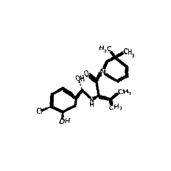 CC(C)[C@@H](N[C@@H](O)C1=CC[C@H](Cl)[C@H](O)C1)C(=O)N1CCCC(C)(C)C1